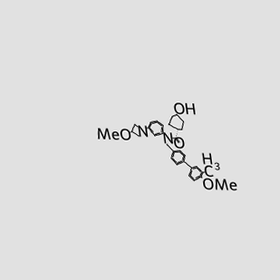 COc1ccc(-c2ccc(CN(c3cccc(N4CC(OC)C4)c3)C(=O)[C@H]3CC[C@H](O)CC3)cc2)cc1C